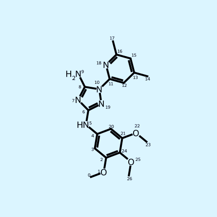 COc1cc(Nc2nc(N)n(-c3cc(C)cc(C)n3)n2)cc(OC)c1OC